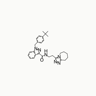 CC(C)(C)c1ccc(Cn2nc(C(=O)NCCc3nnc4n3CCCCC4)c3ccccc32)cc1